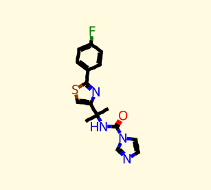 CC(C)(NC(=O)n1ccnc1)c1csc(-c2ccc(F)cc2)n1